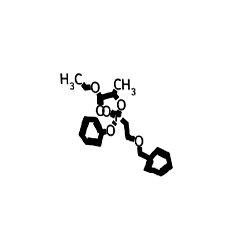 CCOC(=O)C(C)OP(=O)(CCOCc1ccccc1)Oc1ccccc1